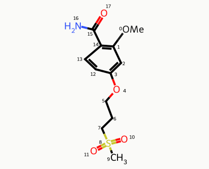 COc1cc(OCCCS(C)(=O)=O)ccc1C(N)=O